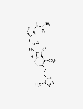 Cn1nnnc1SCC1=C(C(=O)O)N2C(=O)C(NC(=O)Cc3csc(NC(N)=O)n3)[C@@H]2SC1